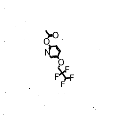 CC(=O)Oc1ccc(OCC(F)(F)C(F)F)cn1